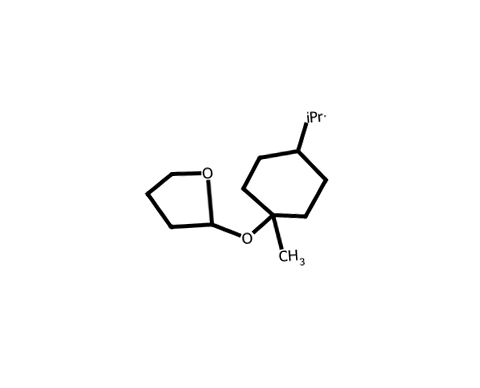 C[C](C)C1CCC(C)(OC2CCCO2)CC1